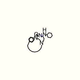 O=C1/N=C(/NC2CCCCC2)CCN2CCCCCCCCCc3ccc(cc3)N1CC2